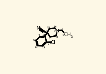 CCN1CCC(C#N)(c2ccccc2Cl)CC1